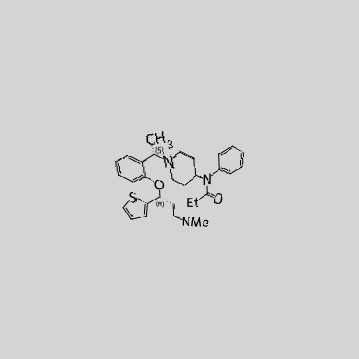 CCC(=O)N(c1ccccc1)C1CCN([C@@H](C)c2ccccc2O[C@H](CCNC)c2cccs2)CC1